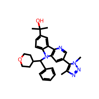 Cc1nnn(C)c1-c1cnc2c3cc(C(C)(C)O)ccc3n(C(c3ccccc3)C3CCOCC3)c2c1